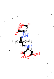 CC(C)(CN[C@@H](CC(=O)O)C(=O)O)CN[C@@H](CC(=O)O)C(=O)O